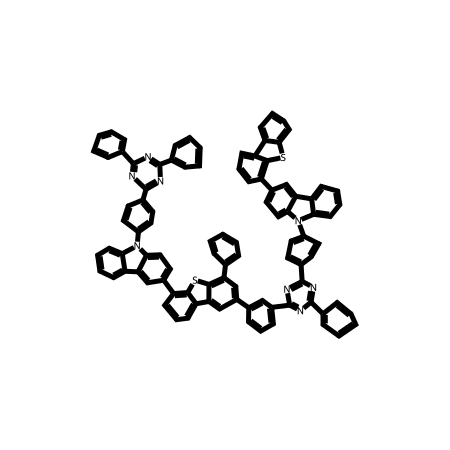 c1ccc(-c2nc(-c3ccccc3)nc(-c3ccc(-n4c5ccccc5c5cc(-c6cccc7c6sc6c(-c8ccccc8)cc(-c8cccc(-c9nc(-c%10ccccc%10)nc(-c%10ccc(-n%11c%12ccccc%12c%12cc(-c%13cccc%14c%13sc%13ccccc%13%14)ccc%12%11)cc%10)n9)c8)cc67)ccc54)cc3)n2)cc1